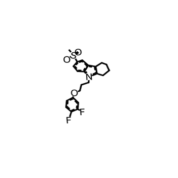 CS(=O)(=O)c1ccc2c(c1)c1c(n2CCCOc2ccc(F)c(F)c2)CCCC1